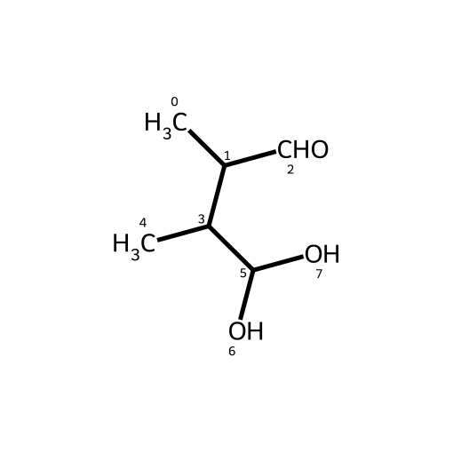 CC(C=O)C(C)C(O)O